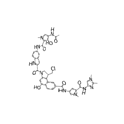 CC(=O)Nc1cn(C)c(C(=O)Nc2ccc3[nH]c(C(=O)N4CC(CCl)c5c4cc(O)c4ccc(C(=O)Nc6cc(C(=O)Nc7cn(C)c(C)n7)n(C)c6)cc54)cc3c2)c1O